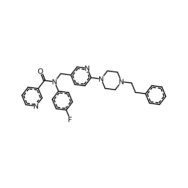 O=C(c1cccnc1)N(Cc1ccc(N2CCN(CCc3ccccc3)CC2)nc1)c1ccc(F)cc1